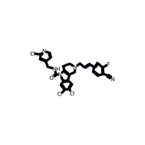 N#Cc1ccc(/C=C/CN2CCc3c(c4cc(Cl)c(Cl)cc4n3C(=O)NCc3ccnc(Cl)c3)C2)cc1F